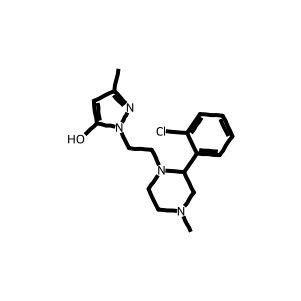 Cc1cc(O)n(CCN2CCN(C)CC2c2ccccc2Cl)n1